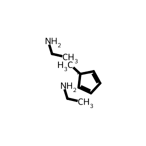 CCN.CCN.C[C]1C=CC=C1